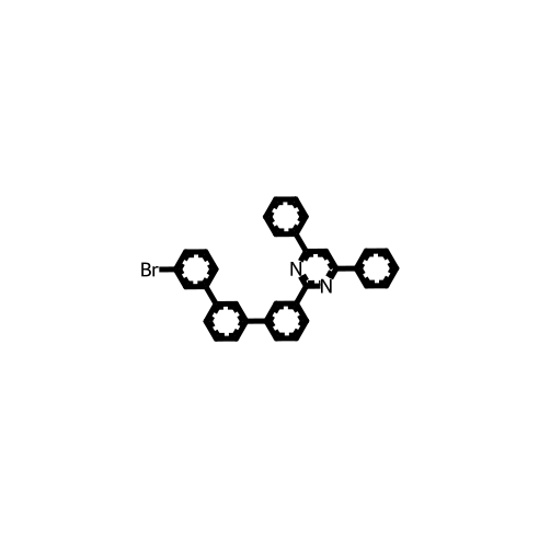 Brc1cccc(-c2cccc(-c3cccc(-c4nc(-c5ccccc5)cc(-c5ccccc5)n4)c3)c2)c1